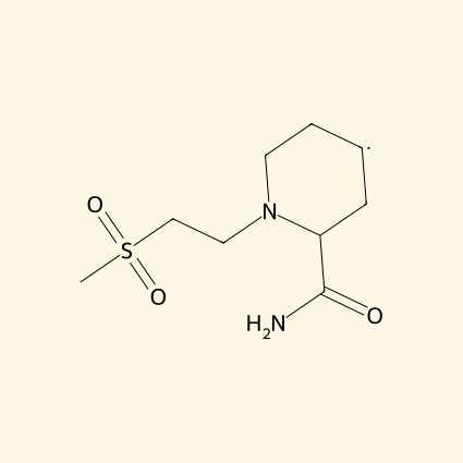 CS(=O)(=O)CCN1CC[CH]CC1C(N)=O